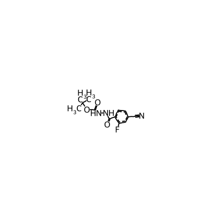 CC(C)(C)OC(=O)NNC(=O)c1ccc(C#N)cc1F